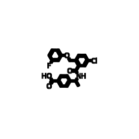 CC(NC(=O)c1cc(Cl)ccc1COc1cccc(F)c1)c1ccc(C(=O)O)cc1